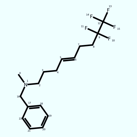 CN(CCCC=CCCC(F)(F)C(F)(F)F)Cc1ccccc1